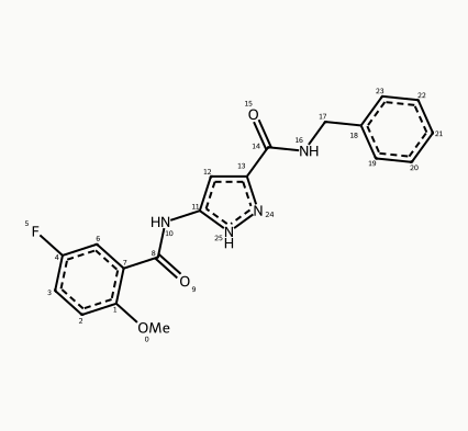 COc1ccc(F)cc1C(=O)Nc1cc(C(=O)NCc2ccccc2)n[nH]1